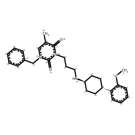 COc1ccccc1[C@H]1CC[C@H](NCCCn2c(=O)c(C)cn(Cc3ccccc3)c2=O)CC1